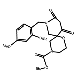 COc1ccc(CN2CC3(CN(C(=O)OC(C)(C)C)CCO3)C(=O)CC2=O)c(OC)c1